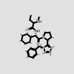 CCC(NC)C(=O)N[C@H](C(=O)N1CCCC1c1nnnn1Cc1ccccc1)C1CCCCC1